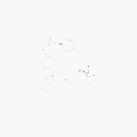 CC12CCC(C(S(=O)(=O)O)C1=O)C2(C)C.N#CCC1(N2CCC(N[C@@H]3C[C@H]3c3ccccc3)CC2)CN(S(N)(=O)=O)C1